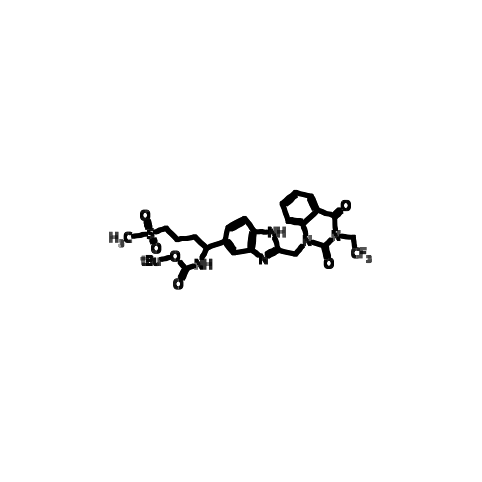 CC(C)(C)OC(=O)NC(CCCS(C)(=O)=O)c1ccc2[nH]c(Cn3c(=O)n(CC(F)(F)F)c(=O)c4ccccc43)nc2c1